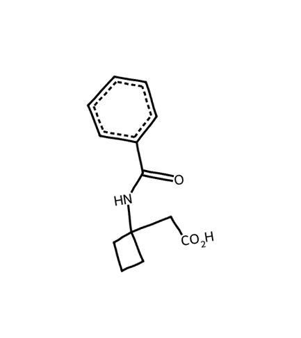 O=C(O)CC1(NC(=O)c2ccccc2)CCC1